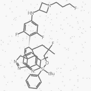 C[C@H]1CN=C2N=NCC23C=C[C@H](c2c(F)cc(NC4CN(CCCF)C4)cc2F)C(CC(C)(F)CO[Si](c2ccccc2)(c2ccccc2)C(C)(C)C)C13